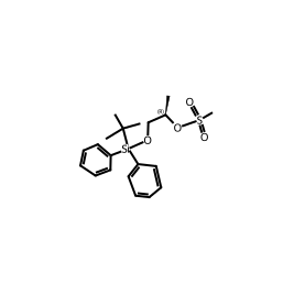 C[C@H](CO[Si](c1ccccc1)(c1ccccc1)C(C)(C)C)OS(C)(=O)=O